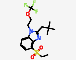 CCS(=O)(=O)c1cccc2c1nc(CC(C)(C)C)n2CCOC(F)(F)F